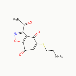 CNC(=O)c1noc2c1C(=O)C(SCCNC(C)=O)=CC2=O